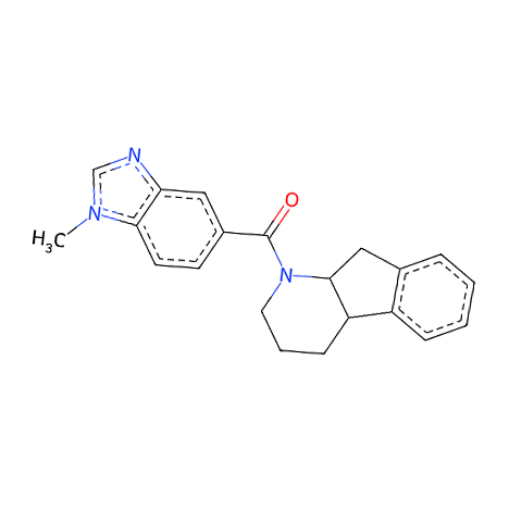 Cn1cnc2cc(C(=O)N3CCCC4c5ccccc5CC43)ccc21